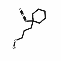 N#COCCCC1(N=C=O)CCCCC1